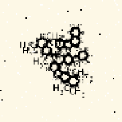 Cc1cc2c(cc1Nc1ccc3sc4cc5c(cc4c3c1-c1cc3oc4ccccc4c3c3c1Bc1cccc4c6c7ccccc7ccc6n-3c14)C(C)(C)CCC5(C)C)C(C)(C)CCC2(C)C